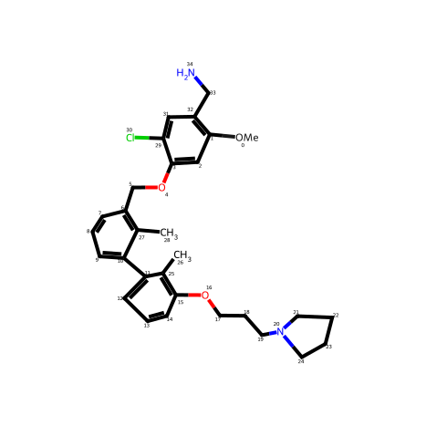 COc1cc(OCc2cccc(-c3cccc(OCCCN4CCCC4)c3C)c2C)c(Cl)cc1CN